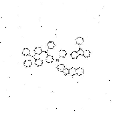 c1ccc(N(c2cccc(N(c3cccc(-c4ccc5c6ccccc6n(-c6ccccc6)c5c4)c3)c3ccc4sc5cc6ccccc6cc5c4c3)c2)c2ccc3c(c2)C(c2ccccc2)(c2ccccc2)c2ccccc2-3)cc1